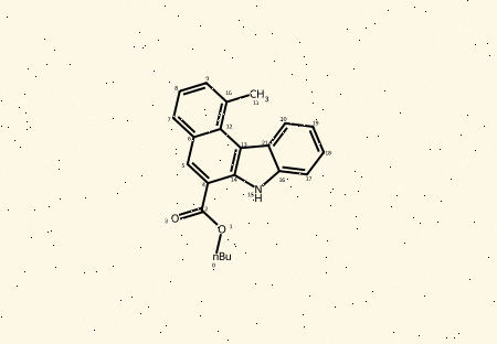 CCCCOC(=O)c1cc2cccc(C)c2c2c1[nH]c1ccccc12